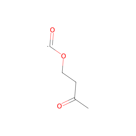 CC(=O)CCO[C]=O